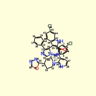 C[C@@H](c1ccc(Cl)cc1)n1cnc(-c2ccccc2)c1-c1c(C(=O)Nc2cccnc2N2CCC(c3nnco3)CC2)[nH]c2cc(Cl)ccc12